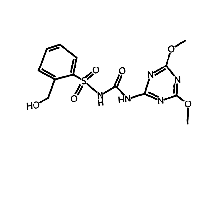 COc1nc(NC(=O)NS(=O)(=O)c2ccccc2CO)nc(OC)n1